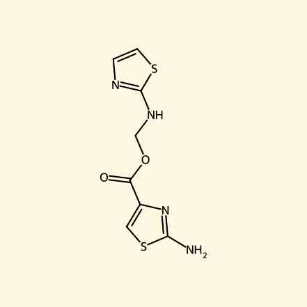 Nc1nc(C(=O)OCNc2nccs2)cs1